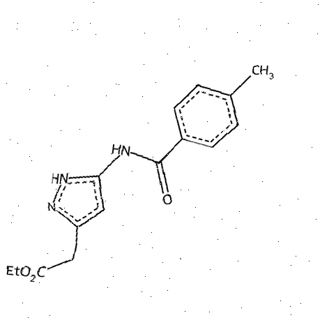 CCOC(=O)Cc1cc(NC(=O)c2ccc(C)cc2)[nH]n1